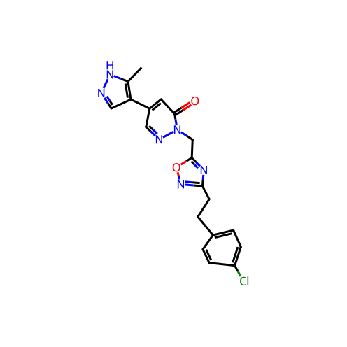 Cc1[nH]ncc1-c1cnn(Cc2nc(CCc3ccc(Cl)cc3)no2)c(=O)c1